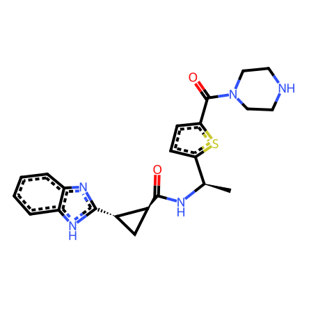 C[C@@H](NC(=O)[C@H]1C[C@@H]1c1nc2ccccc2[nH]1)c1ccc(C(=O)N2CCNCC2)s1